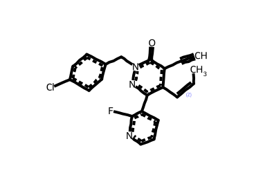 C#Cc1c(/C=C\C)c(-c2cccnc2F)nn(Cc2ccc(Cl)cc2)c1=O